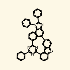 c1ccc(-c2nc(-c3ccccc3)nc(-c3cccc4oc5ccc(-c6ccc7c(c6)nc(-c6ccccc6)n7-c6ccccc6)cc5c34)n2)cc1